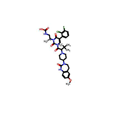 COc1ccc2c(c1)CCN(C1CCN(C(C(=O)n3cc(-c4cccc(F)c4Cl)c(=O)n([C@@H](C)CNC(=O)O)c3=O)C(C)(C)C)CC1)C(=O)N2